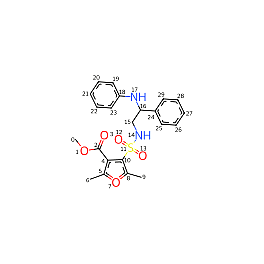 COC(=O)c1c(C)oc(C)c1S(=O)(=O)NCC(Nc1ccccc1)c1ccccc1